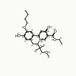 CCCCOc1cc2c(cc1O)CC(C(C)(C)COC)n1cc(C(=O)OCC)c(=O)cc1-2